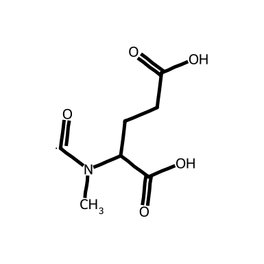 CN([C]=O)C(CCC(=O)O)C(=O)O